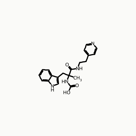 CC(Cc1c[nH]c2ccccc12)(NC(=O)O)C(=O)NCCc1ccncc1